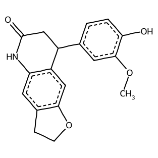 COc1cc(C2CC(=O)Nc3cc4c(cc32)OCC4)ccc1O